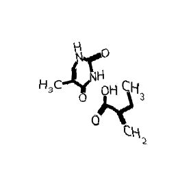 C=C(CC)C(=O)O.Cc1c[nH]c(=O)[nH]c1=O